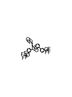 FC(F)C(F)(F)Oc1cccc(C2COc3c(-c4cccc(OC(F)(F)F)c4)cccc3N2CCN2CCOCC2)c1